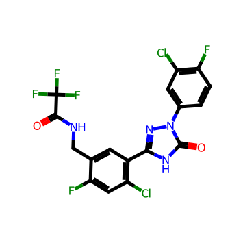 O=C(NCc1cc(-c2nn(-c3ccc(F)c(Cl)c3)c(=O)[nH]2)c(Cl)cc1F)C(F)(F)F